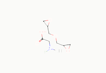 C(OCC1CO1)C1CO1.CN(F)CC(=O)O